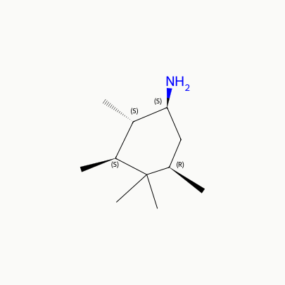 C[C@@H]1[C@@H](N)C[C@@H](C)C(C)(C)[C@H]1C